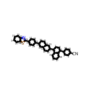 N#Cc1ccc(-c2ccc(-c3ccc4cc(-c5ccc(-c6nc7ccccc7s6)cc5)ccc4c3)c3ccccc23)cc1